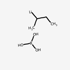 OB(O)O.[Li][CH](C)CC